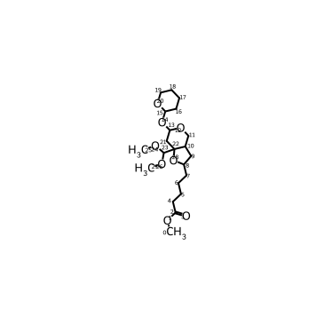 COC(=O)CCCCC1CC2COC(OC3CCCCO3)CC2(C(OC)OC)O1